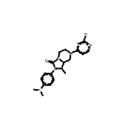 CC1C2CN(c3ccnc(Cl)n3)CCN2C(=O)N1c1ccc(N(C)C)cc1